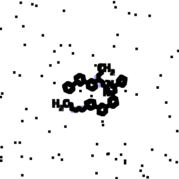 C=C/C=C\C=C\c1cccc(-c2cccc(-c3cccc(-c4cc(-c5ccccc5)nc(/C=C/C(=C\C=C)c5cccc(-c6cccc(-c7ccccc7)c6)c5)n4)c3)c2)c1